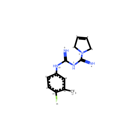 N=C(NC(=N)N1CC=CC1)Nc1ccc(F)c(C(F)(F)F)c1